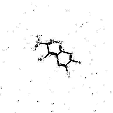 O=[N+]([O-])c1nnc2cc(Br)c(Cl)cc2c1O